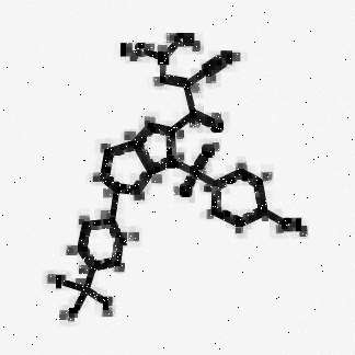 Cc1ccc(S(=O)(=O)n2c(C(=O)C(C#N)=CN(C)C)cc3ccc(-c4ccc(C(F)(F)F)cn4)cc32)cc1